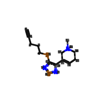 C#CCCCSc1nsnc1C1=CCCN(C)C1